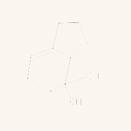 CC1(C)CCC=C2C[CH]C=C21